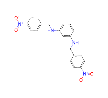 O=[N+]([O-])c1ccc(CNc2cccc(NCc3ccc([N+](=O)[O-])cc3)c2)cc1